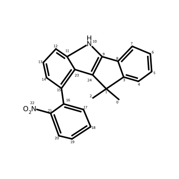 CC1(C)c2ccccc2-c2[nH]c3cccc(-c4ccccc4[N+](=O)[O-])c3c21